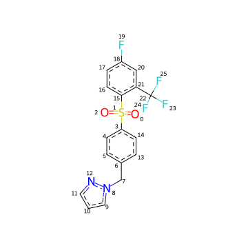 O=S(=O)(c1ccc(Cn2cccn2)cc1)c1ccc(F)cc1C(F)(F)F